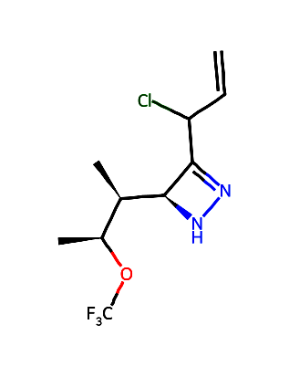 C=CC(Cl)C1=NN[C@H]1[C@H](C)[C@H](C)OC(F)(F)F